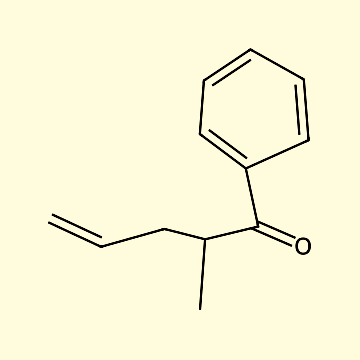 C=CCC(C)C(=O)c1ccccc1